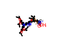 [C-]#[N+]/C(=C\c1ccc(-c2cc3c(s2)C(CC(CC)CCCC)(CC(CC)CCCC)c2sc(-c4ccc(-c5ccc(N(c6ccc(-c7ccc(OCC(CC)CCCC)cc7OCC(CC)CCCC)cc6)c6ccc(-c7ccc(OCC(CC)CCCC)cc7OCC(CC)CCCC)cc6)cc5)c5nsnc45)cc2-3)s1)C(=O)O